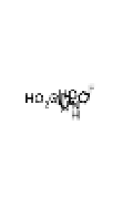 C[C@@H]1CN(C(=O)O)CC[C@H]1Nc1ccc(F)cc1O